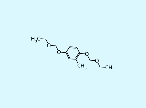 CCOCOc1ccc(OCOCC)c(C)c1